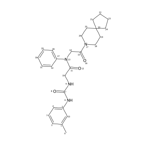 Cc1cccc(NC(=O)NCC(=O)N(CC(=O)N2CCC3(CCCC3)CC2)c2ccccc2)c1